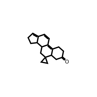 O=C1CCC2=C3C=CC4=CCCC4C3CC3(CC3)C2C1